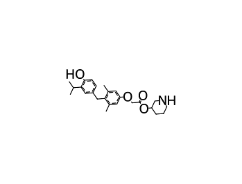 Cc1cc(OCC(=O)OC2CCCNC2)cc(C)c1Cc1ccc(O)c(C(C)C)c1